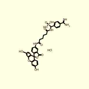 Cl.N=C(N)c1ccc(C(NC(=O)CCCCC(=O)Nc2ccc3c(c2)C(=O)OC32c3ccc(O)cc3Oc3cc(O)ccc32)P(=O)(O)O)cc1